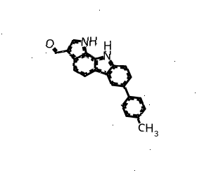 Cc1ccc(-c2ccc3[nH]c4c(ccc5c(C=O)c[nH]c54)c3c2)cc1